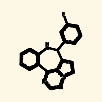 Fc1cccc(C2Nc3ccccc3-c3ncnn4ccc2c34)c1